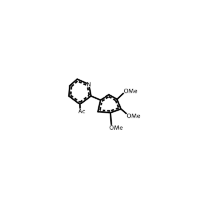 COc1cc(-c2ncccc2C(C)=O)cc(OC)c1OC